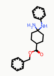 NC1(Nc2ccccc2)CCC(C(=O)OCc2ccccc2)CC1